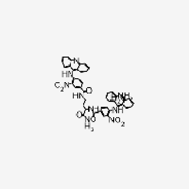 C=c1cccc/c1=C(\Nc1ccc(C(=O)NC(CCNC(=O)c2ccc(Nc3c4ccccc4nc4ccccc34)c([N+](=O)[O-])c2)C(N)=O)cc1[N+](=O)[O-])c1ccccc1N